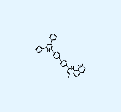 Cc1ccc2ccc3c(C)cc(-c4ccc(-c5ccc(-c6cc(-c7ccccc7)cc(-c7ccccc7)n6)cc5)cc4)nc3c2n1